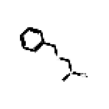 CN(C#N)COCc1ccccc1